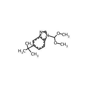 COC(OC)n1cnc2cc(C(C)(C)C)ccc21